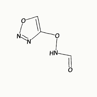 O=CNOc1conn1